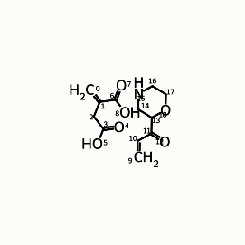 C=C(CC(=O)O)C(=O)O.C=CC(=O)C1CNCCO1